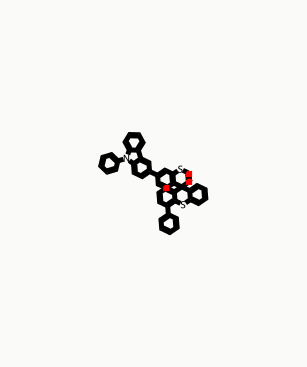 c1ccc(-c2cccc3c2Sc2ccccc2C32c3ccccc3Sc3cc(-c4ccc5c(c4)c4ccccc4n5-c4ccccc4)ccc32)cc1